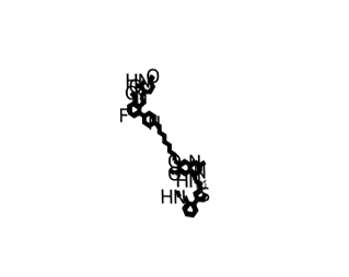 CNCc1ccccc1-c1csc([C@@H](C)Nc2nc(C)nc3cc(OCCCCCCCN4CCC(c5cc(F)cc6c5CN(C5CCC(=O)NC5=O)C6=O)CC4)c(OC)cc23)c1